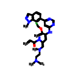 C=CC(=O)NC(=C\N(C)CCN(C)C)/C=C(/Nc1cc(-c2ccc3cnn(C)c3c2)ncn1)C(=C)OCF